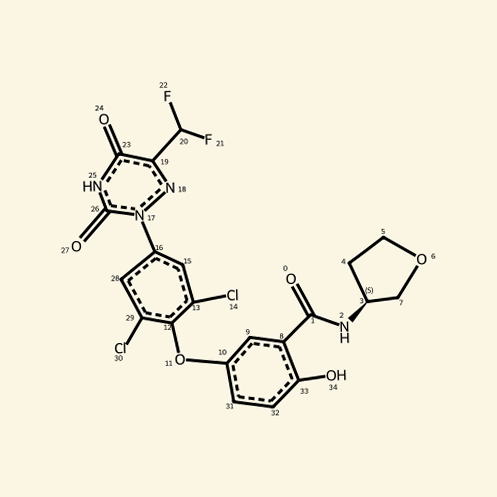 O=C(N[C@H]1CCOC1)c1cc(Oc2c(Cl)cc(-n3nc(C(F)F)c(=O)[nH]c3=O)cc2Cl)ccc1O